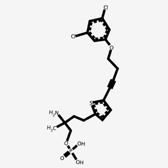 CC(N)(CCc1ccc(C#CCCOc2cc(Cl)cc(Cl)c2)s1)COP(=O)(O)O